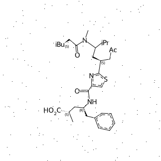 CC[C@H](C)CC(=O)N(C)C(C[C@@H](CC(C)=O)c1nc(C(=O)N[C@@H](Cc2ccccc2)C[C@H](C)C(=O)O)cs1)C(C)C